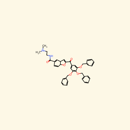 CN(C)CCNC(=O)C1=CC2C=C(C(=O)c3cc(OCc4ccccc4)c(OCc4ccccc4)c(OCc4ccccc4)c3)OC2C=C1